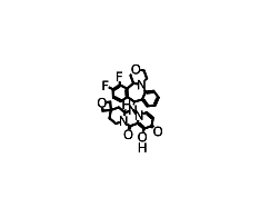 O=C1c2c(O)c(=O)ccn2N([C@@H]2c3ccccc3N3CCOCC3c3c2ccc(F)c3F)[C@@H]2CC3(CCN12)COC3